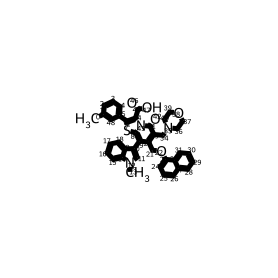 Cc1cccc(-c2sc3c(-c4cn(C)c5ccccc45)c(COc4cccc5ccccc45)c(CN4CCOCC4)c(=O)n3c2C(=O)O)c1